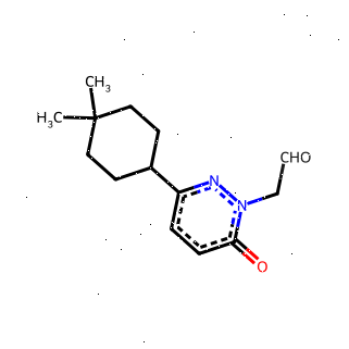 CC1(C)CCC(c2ccc(=O)n(CC=O)n2)CC1